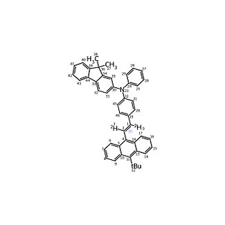 [2H]/C(=C(/[2H])c1c2ccccc2c(C(C)(C)C)c2ccccc12)c1ccc(N(c2ccccc2)c2ccc3c(c2)C(C)(C)c2ccccc2-3)cc1